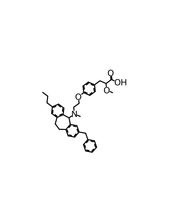 CCCc1ccc2c(c1)CCc1ccc(Cc3ccccc3)cc1C2N(C)CCOc1ccc(CC(OC)C(=O)O)cc1